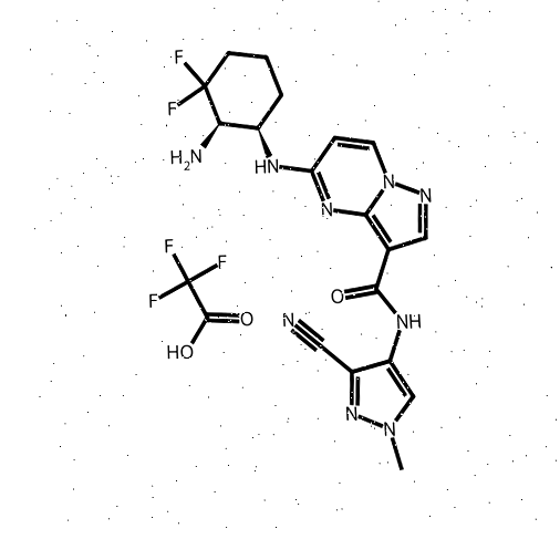 Cn1cc(NC(=O)c2cnn3ccc(N[C@@H]4CCCC(F)(F)[C@@H]4N)nc23)c(C#N)n1.O=C(O)C(F)(F)F